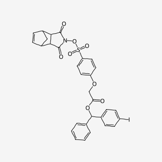 O=C(COc1ccc(S(=O)(=O)ON2C(=O)C3C4C=CC(C4)C3C2=O)cc1)OC(c1ccccc1)c1ccc(I)cc1